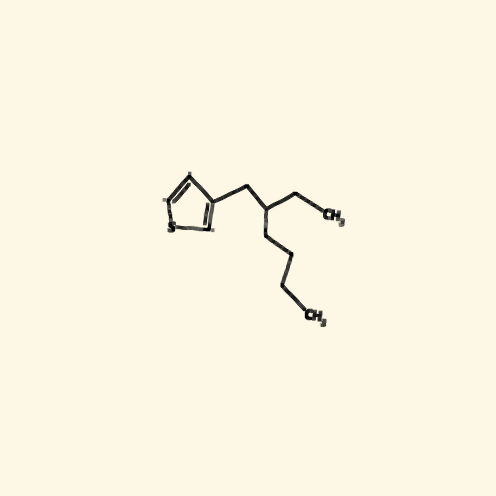 CCCCC(CC)Cc1[c][c]s[c]1